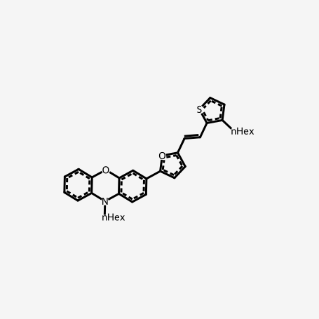 CCCCCCc1ccsc1/C=C/c1ccc(-c2ccc3c(c2)Oc2ccccc2N3CCCCCC)o1